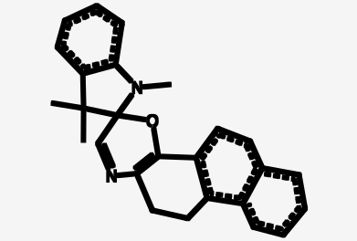 CN1c2ccccc2C(C)(C)C12C=NC1=C(O2)c2ccc3ccccc3c2CC1